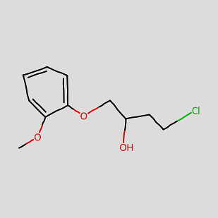 COc1ccccc1OCC(O)CCCl